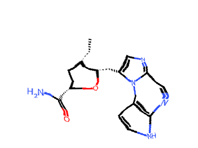 C[C@H]1C[C@@H](C(N)=O)O[C@H]1c1cnc2cnc3[nH]ccc3n12